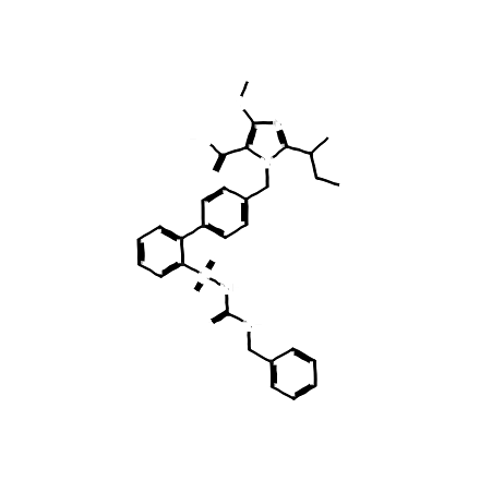 CCC(C)c1nc(SC)c(C(=O)O)n1Cc1ccc(-c2ccccc2S(=O)(=O)NC(=O)NCc2ccccc2)cc1